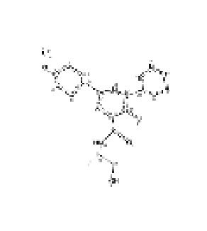 C[C@@H](CO)NC(=O)c1cc(-c2ccc(OC(F)(F)F)cc2)nn(-c2cccnc2)c1=O